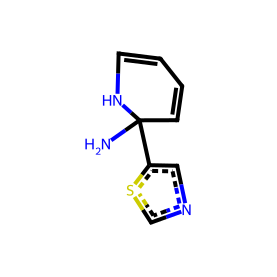 NC1(c2cncs2)C=CC=CN1